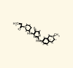 C=CC(=O)N1CCCC(Nc2nc(Nc3ccc4c(c3)CN(C)CC4)ncc2F)C1